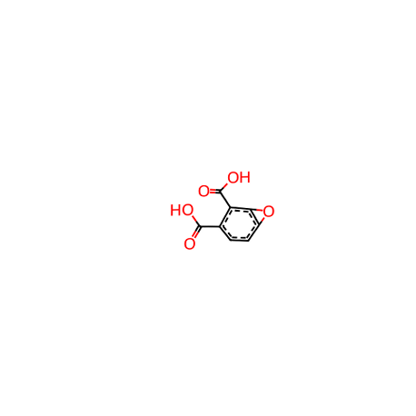 O=C(O)c1ccc2c(c1C(=O)O)O2